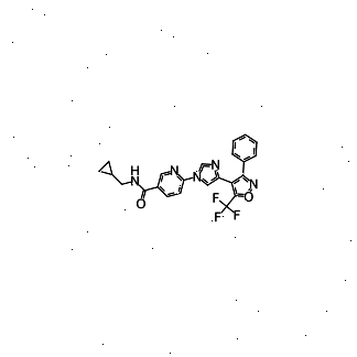 O=C(NCC1CC1)c1ccc(-n2cnc(-c3c(-c4ccccc4)noc3C(F)(F)F)c2)nc1